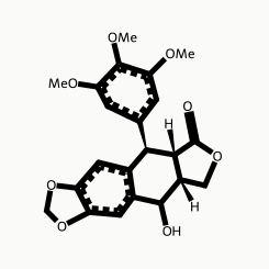 COc1cc([C@@H]2c3cc4c(cc3C(O)[C@H]3COC(=O)[C@@H]23)OCO4)cc(OC)c1OC